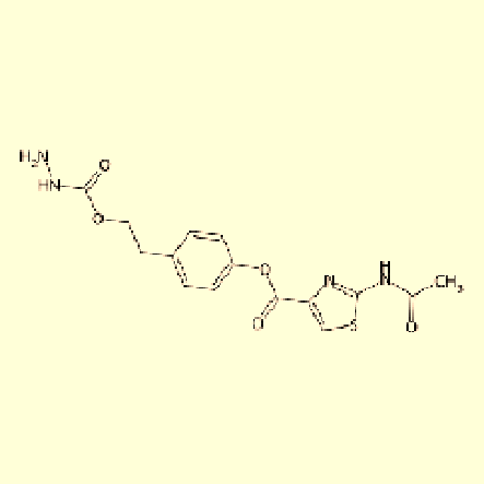 CC(=O)Nc1nc(C(=O)Oc2ccc(CCOC(=O)NN)cc2)cs1